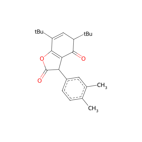 Cc1ccc(C2C(=O)OC3=C2C(=O)C(C(C)(C)C)C=C3C(C)(C)C)cc1C